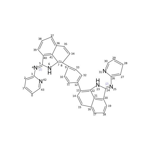 c1ccc(/N=C2\Nc3c(-c4ccc(-c5ccc6cccc7c6c5N/C7=N\c5ccccn5)cc4)ccc4cccc2c34)nc1